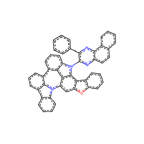 c1ccc(-c2nc3c(ccc4ccccc43)nc2-n2c3cccc4c5cccc6c7ccccc7n(c7cc8oc9ccccc9c8c2c7c43)c56)cc1